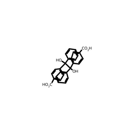 O=C(O)c1ccc(C(O)(c2ccccc2)C(O)(c2ccccc2)c2ccc(C(=O)O)cc2)cc1